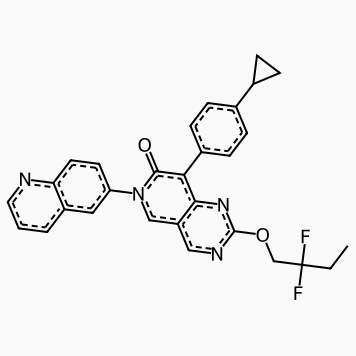 CCC(F)(F)COc1ncc2cn(-c3ccc4ncccc4c3)c(=O)c(-c3ccc(C4CC4)cc3)c2n1